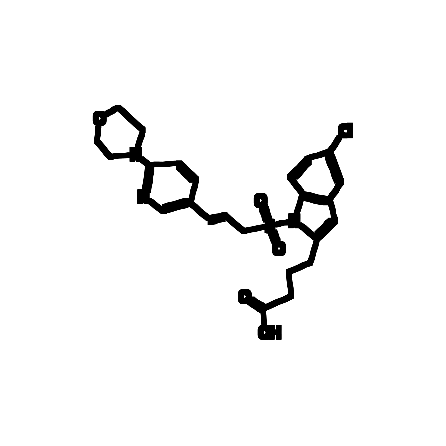 O=C(O)CCCc1cc2cc(Cl)ccc2n1S(=O)(=O)CC=Cc1ccc(N2CCOCC2)nc1